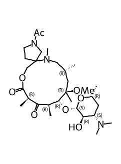 CO[C@]1(C)C[C@@H](C)CN(C)C2(CCN(C(C)=O)C2)COC(=O)[C@H](C)C(=O)[C@H](C)[C@H]1O[C@@H]1O[C@H](C)C[C@H](N(C)C)[C@H]1O